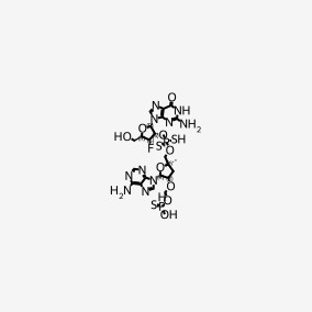 C[C@]1(COP(=S)(S)O[C@@H]2[C@@H](F)[C@@H](CO)O[C@H]2n2cnc3c(=O)[nH]c(N)nc32)C[C@@H](OCO[PH](O)=S)[C@H](n2cnc3c(N)ncnc32)O1